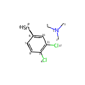 CN(C)C.Clc1cc[c]([SnH])cc1Cl